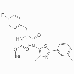 Cc1cc(-c2nc(C)c(NC(=O)[C@H](Cc3ccc(F)cc3)NC(=O)OC(C)(C)C)s2)ccn1